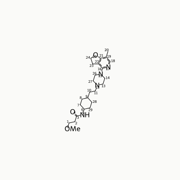 COCCC(=O)NC1CCC(CCN2CCN(c3ncc(C)c4c3CCO4)CC2)CC1